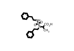 CC(C(=O)O)N(CCc1ccccc1)S(=O)(=O)NCCc1ccccc1